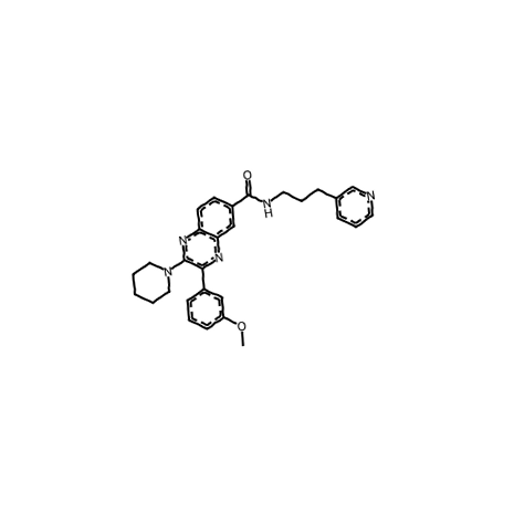 COc1cccc(-c2nc3cc(C(=O)NCCCc4cccnc4)ccc3nc2N2CCCCC2)c1